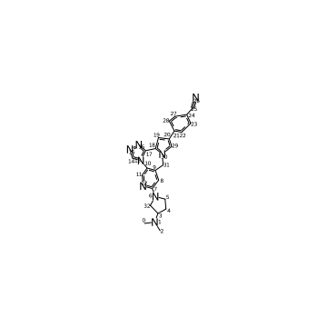 CN(C)C1CCN(c2cc3c(cn2)-n2cnnc2-c2cc(-c4ccc(C#N)cc4)cn2C3)C1